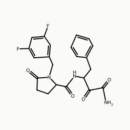 NC(=O)C(=O)C(Cc1ccccc1)NC(=O)C1CCC(=O)N1Cc1cc(F)cc(F)c1